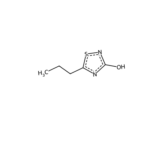 CCCc1nc(O)ns1